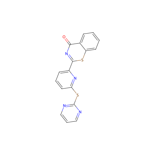 O=c1nc(-c2cccc(Sc3ncccn3)n2)sc2ccccc12